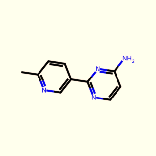 Cc1ccc(-c2nccc(N)n2)cn1